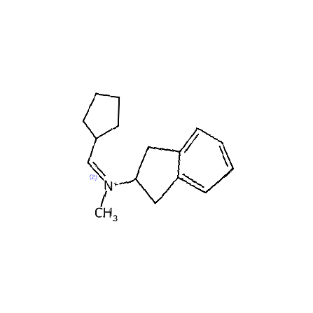 C/[N+](=C/C1CCCC1)C1Cc2ccccc2C1